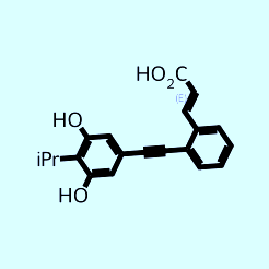 CC(C)c1c(O)cc(C#Cc2ccccc2/C=C/C(=O)O)cc1O